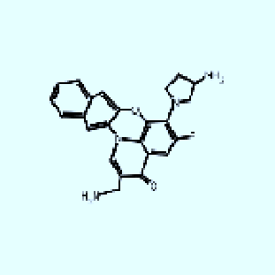 NCc1cn2c3c(c(N4CCC(N)C4)c(F)cc3c1=O)Oc1cc3ccccc3cc1-2